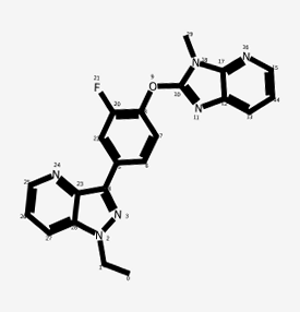 CCn1nc(-c2ccc(Oc3nc4cccnc4n3C)c(F)c2)c2ncccc21